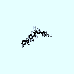 [C-]#[N+]c1ncc(-c2cnc3[nH]cc(C(=O)c4c(F)ccc(NS(=O)(=O)c5cccc(F)c5)c4F)c3c2)cn1